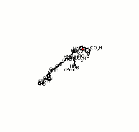 CCCCCC(=O)NCCCC[C@H](NC(=O)[C@H](CCCCNC(=S)Nc1ccc(CC2CN(CC(=O)O)CCN(CC(=O)O)CCN2CC(=O)O)cc1)NC(=O)CCOCCOCCOCCNC(=O)COc1ccc2c(C(=O)NCC(=O)N3CCC[C@H]3C#N)ccnc2c1)C(=O)O